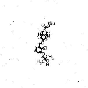 CC(C)(O)COc1cccc(COC2C[C@@H]3CN(C(=O)OC(C)(C)C)C[C@@H]3C2)c1Cl